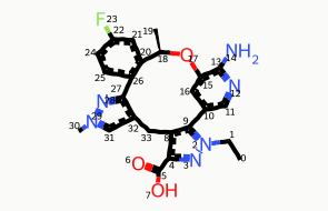 CCn1nc(C(=O)O)c2c1-c1cnc(N)c(c1)O[C@H](C)c1cc(F)ccc1-c1nn(C)cc1C2